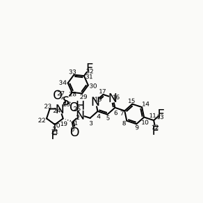 O=C(NCc1cc(-c2ccc(C(F)F)cc2)ncn1)[C@@H]1[C@@H](F)CCN1S(=O)(=O)c1ccc(F)cc1